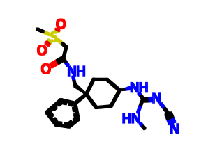 CN/C(=N\C#N)N[C@H]1CC[C@](CNC(=O)CS(C)(=O)=O)(c2ccccc2)CC1